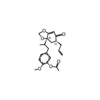 C=CC[C@H]1C[C@]2(C(C)Cc3ccc(OC)c(OC(C)=O)c3)OCOC2=CC1=O